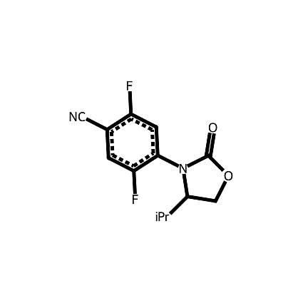 CC(C)C1COC(=O)N1c1cc(F)c(C#N)cc1F